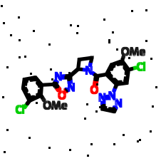 COc1cc(C(=O)N2CCC2c2noc(-c3cccc(Cl)c3OC)n2)c(-n2nccn2)cc1Cl